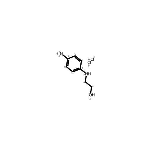 Cl.Cl.Nc1ccc(NCCO)cc1